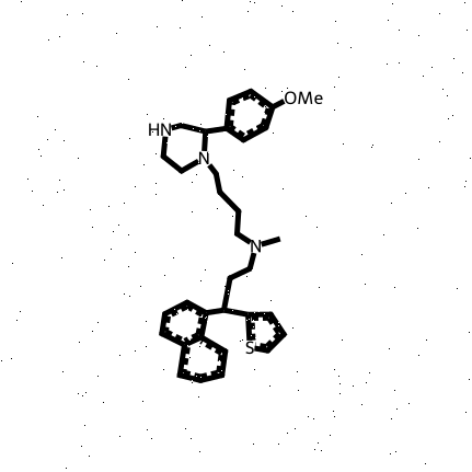 COc1ccc(C2CNCCN2CCCCN(C)CCC(c2cccs2)c2cccc3ccccc23)cc1